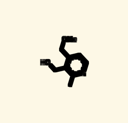 COCc1ccnc(C)c1CO